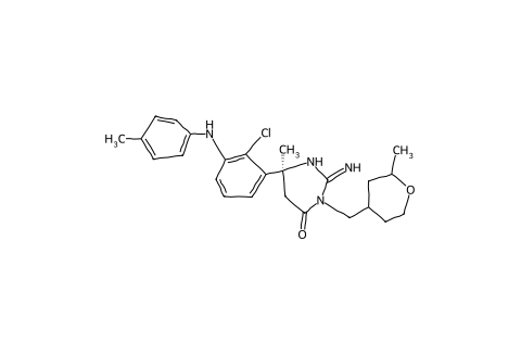 Cc1ccc(Nc2cccc([C@]3(C)CC(=O)N(CC4CCOC(C)C4)C(=N)N3)c2Cl)cc1